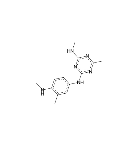 CNc1nc(C)nc(Nc2ccc(NC)c(C)c2)n1